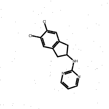 Clc1cc2c(cc1Cl)CC(Nc1ncccn1)C2